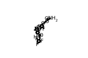 CC1c2ccc(C(=O)NCc3c(F)cc(F)cc3F)cc2N(Cc2c(F)cc(OCCOC(=O)CN)cc2F)C(=O)N1C